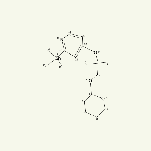 CC(C)(COC1CCCCO1)Oc1ccn[c]([Sn]([CH3])([CH3])[CH3])c1